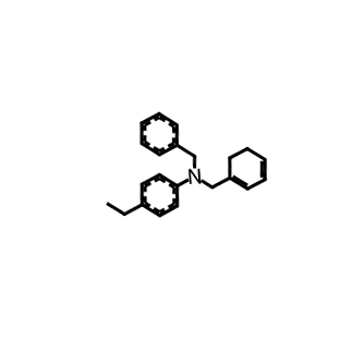 CCc1ccc(N(CC2=CC=CCC2)Cc2ccccc2)cc1